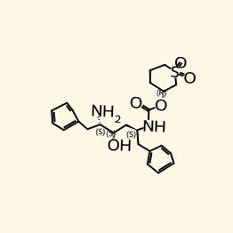 N[C@@H](Cc1ccccc1)[C@@H](O)C[C@H](Cc1ccccc1)NC(=O)O[C@@H]1CCCS(=O)(=O)C1